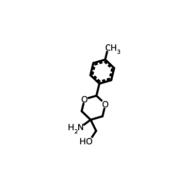 Cc1ccc(C2OCC(N)(CO)CO2)cc1